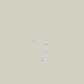 Cc1ccsc1/C=c1\[nH]c(=O)/c(=C/c2nc[nH]c2C(C)(C)C)[nH]c1=O